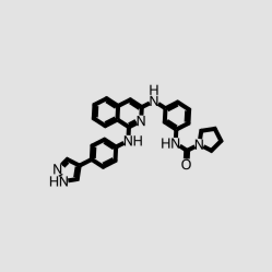 O=C(Nc1cccc(Nc2cc3ccccc3c(Nc3ccc(-c4cn[nH]c4)cc3)n2)c1)N1CCCC1